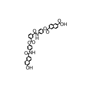 O=C(O)c1ccc2cc(C(=O)Oc3ccc(NC(=O)c4cccc(C(=O)Oc5ccc(NC(=O)c6ccc7cc(O)ccc7c6)cc5)c4)cc3)ccc2c1